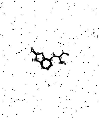 CCC(N)Oc1cccc2c1CC(=O)N2